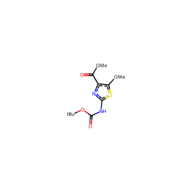 COC(=O)c1nc(NC(=O)OC(C)(C)C)sc1OC